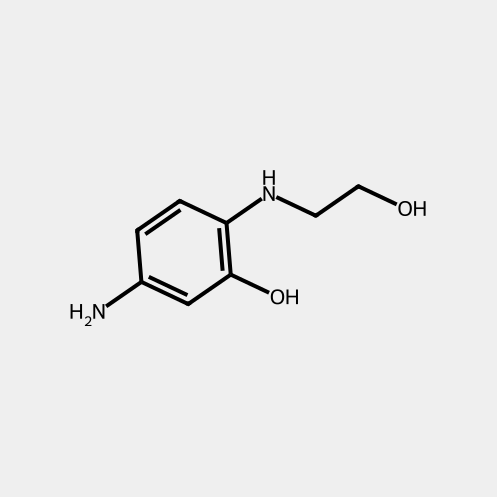 Nc1ccc(NCCO)c(O)c1